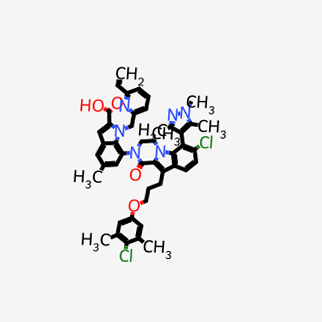 C=Cc1cccc(Cn2c(C(=O)O)cc3cc(C)cc(N4CC(C)n5c(c(CCCOc6cc(C)c(Cl)c(C)c6)c6ccc(Cl)c(-c7c(C)nn(C)c7C)c65)C4=O)c32)n1